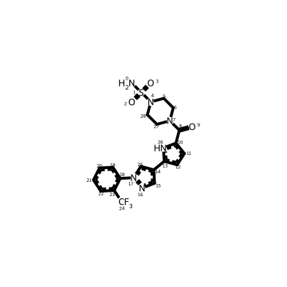 NS(=O)(=O)N1CCN(C(=O)c2ccc(-c3cnn(-c4ccccc4C(F)(F)F)c3)[nH]2)CC1